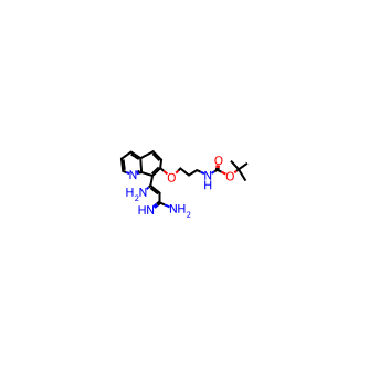 CC(C)(C)OC(=O)NCCCOc1ccc2cccnc2c1/C(N)=C/C(=N)N